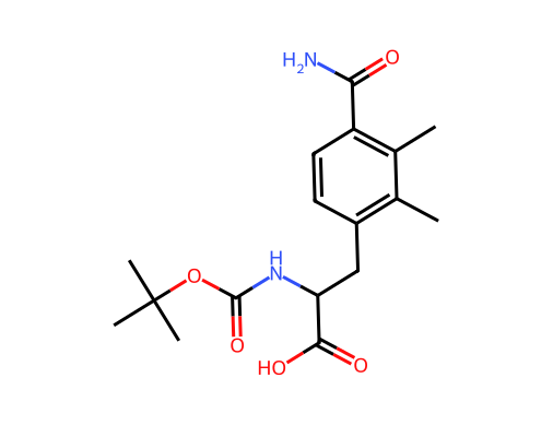 Cc1c(CC(NC(=O)OC(C)(C)C)C(=O)O)ccc(C(N)=O)c1C